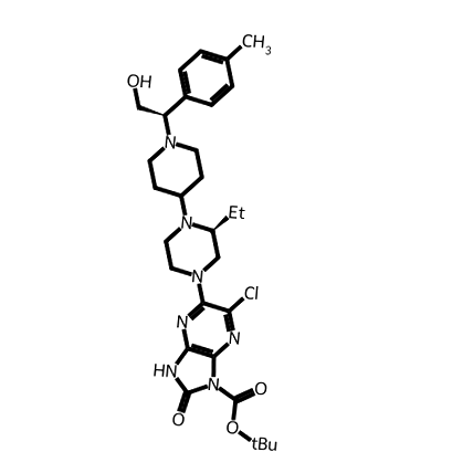 CC[C@H]1CN(c2nc3[nH]c(=O)n(C(=O)OC(C)(C)C)c3nc2Cl)CCN1C1CCN([C@@H](CO)c2ccc(C)cc2)CC1